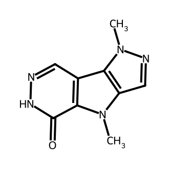 Cn1ncc2c1c1cn[nH]c(=O)c1n2C